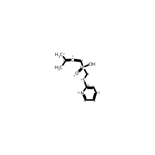 CC(C)=C=CP(=O)(O)CSc1ccccn1